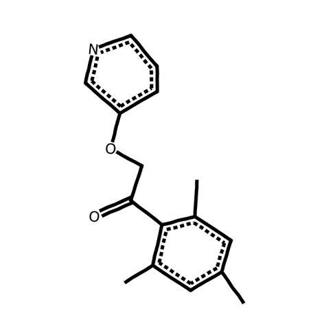 Cc1cc(C)c(C(=O)COc2cccnc2)c(C)c1